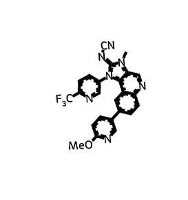 COc1ccc(-c2ccc3ncc4c(c3c2)n(-c2ccc(C(F)(F)F)nc2)c(=NC#N)n4C)cn1